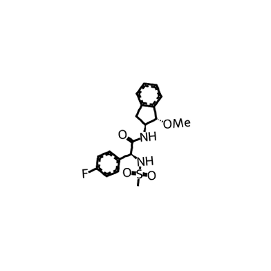 CO[C@H]1c2ccccc2C[C@@H]1NC(=O)[C@@H](NS(C)(=O)=O)c1ccc(F)cc1